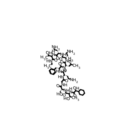 CCNC(=O)C(NC(=O)[C@H](CCN)NC(=O)[C@H](CCN)NC(=O)[C@H](CC(C)C)NC(=O)[C@@H](Cc1ccccc1)NC(=O)[C@H](CCN)NC(=O)CNC(=O)[C@@H](CO)NC(=O)C(NC(=O)C(O)C1CCCCC1)C(C)O)C(C)O